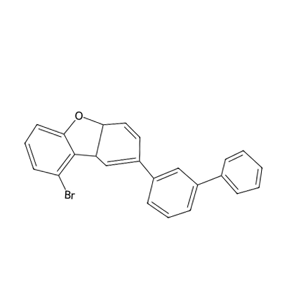 Brc1cccc2c1C1C=C(c3cccc(-c4ccccc4)c3)C=CC1O2